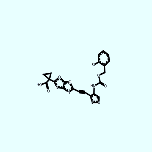 O=C(Nc1csnc1C#Cc1nc2nc(C3(C(=O)O)CC3)oc2o1)OCc1ccccc1Cl